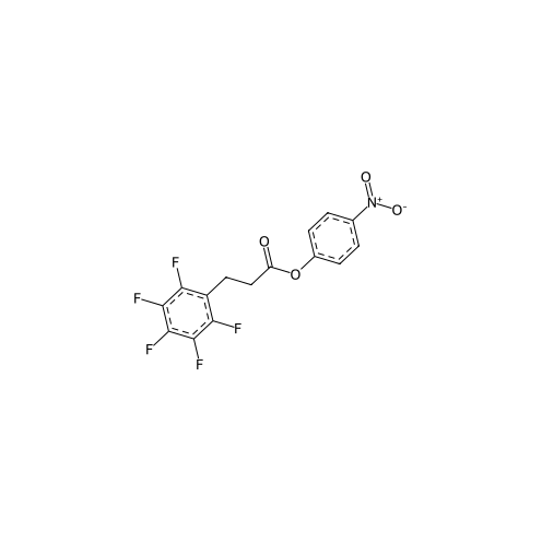 O=C(CCc1c(F)c(F)c(F)c(F)c1F)Oc1ccc([N+](=O)[O-])cc1